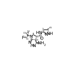 Cc1cc(NC(=O)c2cn(C3(CF)CC3)c3ncnc(N)c23)n[nH]1